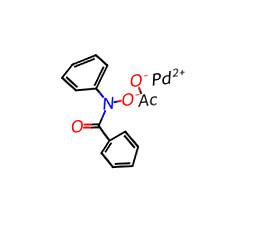 CC(=O)[O-].O=C(c1ccccc1)N([O-])c1ccccc1.[Pd+2]